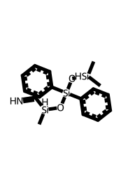 C[SiH](C)O[Si](O[SiH](C)C=N)(c1ccccc1)c1ccccc1